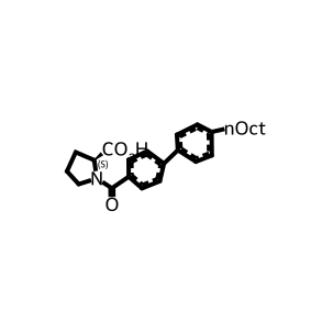 CCCCCCCCc1ccc(-c2ccc(C(=O)N3CCC[C@H]3C(=O)O)cc2)cc1